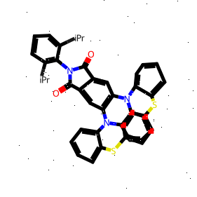 CC(C)c1cccc(C(C)C)c1N1C(=O)c2cc(N3c4ccccc4Sc4ccccc43)c(N3c4ccccc4Sc4ccccc43)cc2C1=O